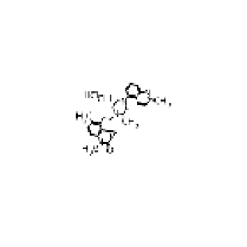 Cc1ccc2c(N3CCN(CCc4c(C)ccc5c4C4CC4C(=O)N5C)[C@@H](C)C3)cccc2n1.Cl.Cl